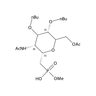 CCCCOC1[C@H](OCCCC)C(COC(C)=O)O[C@H](CP(=O)(O)OC)[C@@H]1NC(C)=O